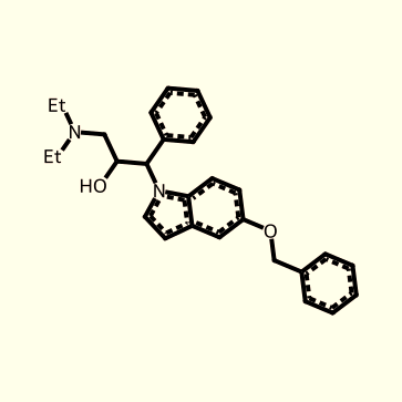 CCN(CC)CC(O)C(c1ccccc1)n1ccc2cc(OCc3ccccc3)ccc21